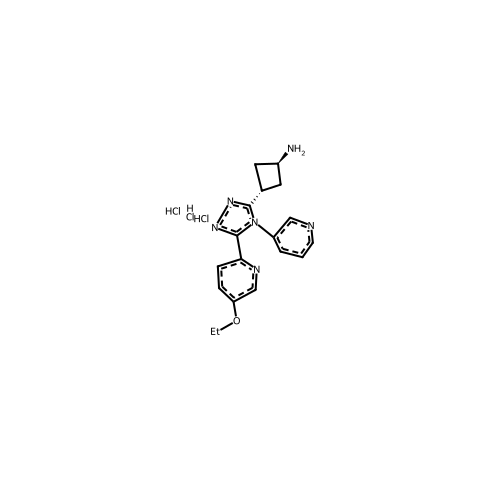 CCOc1ccc(-c2nnc([C@H]3C[C@H](N)C3)n2-c2cccnc2)nc1.Cl.Cl.Cl